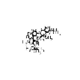 CNc1cc2c(cn1)CN(c1ccc(F)c(N(C(N)=O)c3cnn(C(C)(C)C)c3)c1C)C(=O)N2C